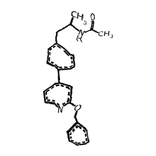 CC(=O)NC(C)Cc1ccc(-c2ccnc(Oc3ccccc3)c2)cc1